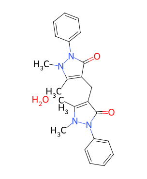 Cc1c(Cc2c(C)n(C)n(-c3ccccc3)c2=O)c(=O)n(-c2ccccc2)n1C.O